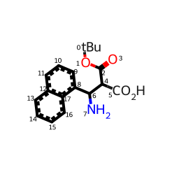 CC(C)(C)OC(=O)C(C(=O)O)C(N)c1cccc2ccccc12